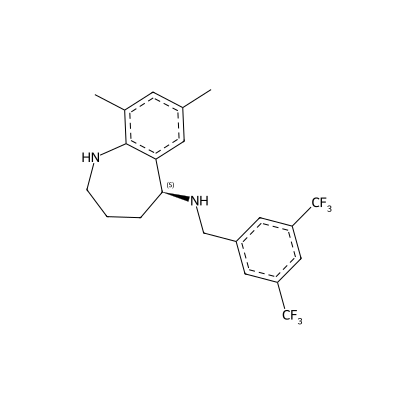 Cc1cc(C)c2c(c1)[C@@H](NCc1cc(C(F)(F)F)cc(C(F)(F)F)c1)CCCN2